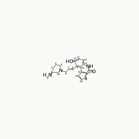 NC1CCCN(C/C=C/c2c(O)ccc3[nH]c(=O)c4sccc4c23)C1